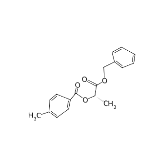 Cc1ccc(C(=O)O[C@@H](C)C(=O)OCc2ccccc2)cc1